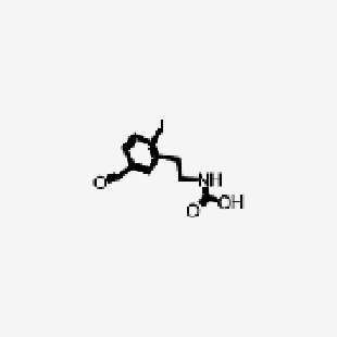 O=Cc1ccc(I)c(CCNC(=O)O)c1